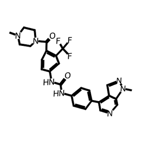 CN1CCN(C(=O)c2ccc(NC(=O)Nc3ccc(-c4cncc5c4cnn5C)cc3)cc2C(F)(F)F)CC1